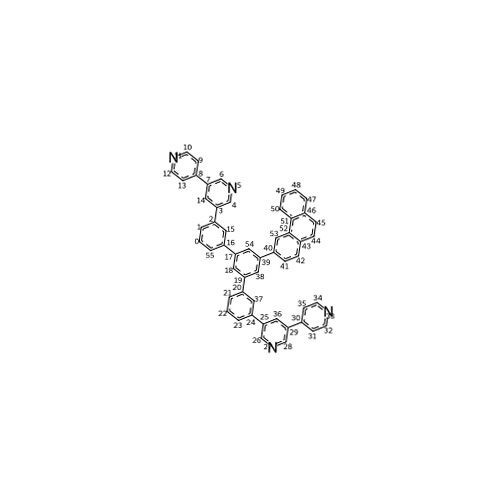 c1cc(-c2cncc(-c3ccncc3)c2)cc(-c2cc(-c3cccc(-c4cncc(-c5ccncc5)c4)c3)cc(-c3ccc4ccc5ccccc5c4c3)c2)c1